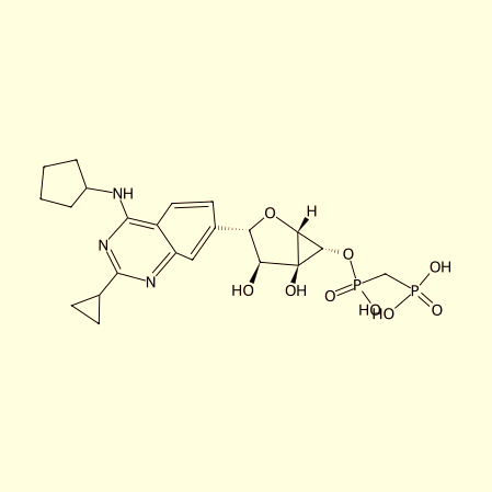 O=P(O)(O)CP(=O)(O)O[C@H]1[C@H]2O[C@@H](c3ccc4c(NC5CCCC5)nc(C5CC5)nc4c3)[C@H](O)[C@]21O